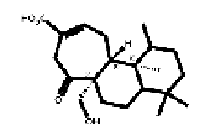 CC1CCC(C)(C)C2CC[C@@]3(CO)C(=O)CC(C(=O)O)=CC[C@@H]3[C@@]12C